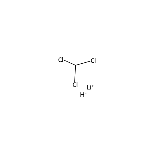 ClC(Cl)Cl.[H-].[Li+]